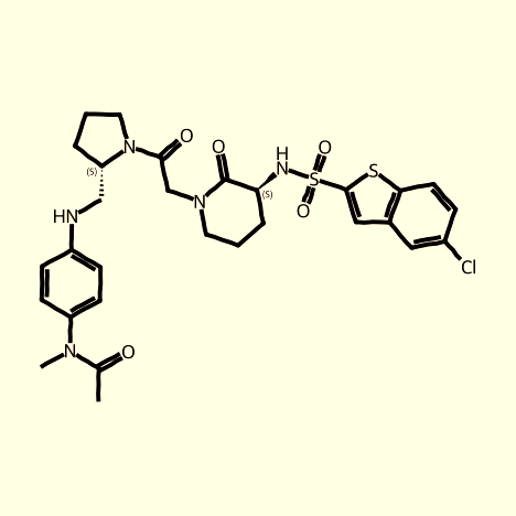 CC(=O)N(C)c1ccc(NC[C@@H]2CCCN2C(=O)CN2CCC[C@H](NS(=O)(=O)c3cc4cc(Cl)ccc4s3)C2=O)cc1